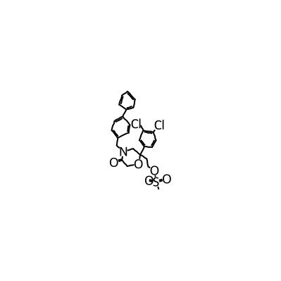 CS(=O)(=O)OCCC1(c2ccc(Cl)c(Cl)c2)CN(Cc2ccc(-c3ccccc3)cc2)C(=O)CO1